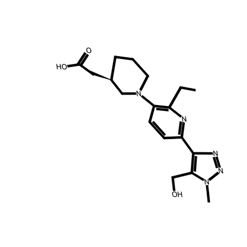 CCc1nc(-c2nnn(C)c2CO)ccc1N1CCC[C@H](CC(=O)O)C1